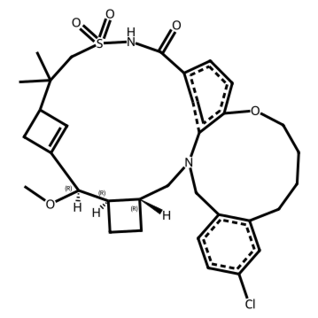 CO[C@H]1C2=CC(C2)C(C)(C)CS(=O)(=O)NC(=O)c2ccc3c(c2)N(Cc2ccc(Cl)cc2CCCCO3)C[C@@H]2CC[C@H]21